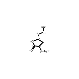 CCCCCCC[C@@H]1C[C@@H](CSC(C)=O)OC1=O